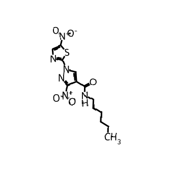 CCCCCCNC(=O)c1cn(-c2ncc([N+](=O)[O-])s2)nc1[N+](=O)[O-]